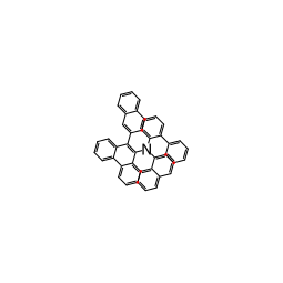 c1ccc(-c2ccccc2N(c2cccc3ccccc23)c2c(-c3ccc4ccccc4c3)c3ccccc3c3ccccc23)cc1